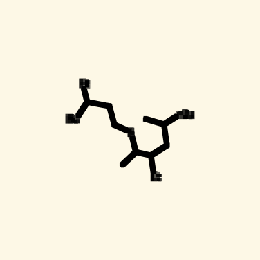 CCCCC(C)CC(CC)C(C)SCCC(CC)C(C)CC